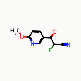 COc1ccc(C(=O)C(F)C#N)cn1